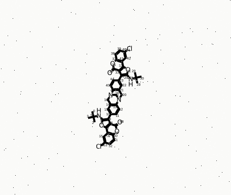 CC(C)(C)Nc1oc2c(c1-c1ccc3c(c1)CN1CN3Cc3cc(-c4c(NC(C)(C)C)oc5c4c(=O)oc4ccc(Cl)cc45)ccc31)c(=O)oc1ccc(Cl)cc12